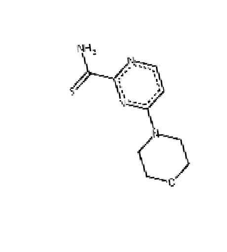 NC(=S)c1n[c]cc(N2CCOCC2)n1